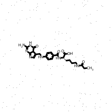 CCC(=O)NCCCC[C@H](NC(=O)c1ccc(NCC2=CN=C3N=C(N)NC(=O)C23)cc1)C(=O)O